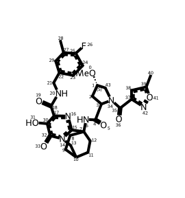 CO[C@H]1CC(C(=O)NC23CCC(CC2)Cn2c3nc(C(=O)NCc3ccc(F)c(C)c3)c(O)c2=O)N(C(=O)c2cc(C)on2)C1